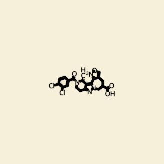 C[C@@H]1c2c(nn3c2-c2nocc2CC(C(=O)O)C3)CCN1C(=O)c1ccc(Cl)c(Cl)c1